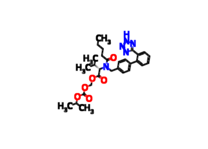 CCCCC(=O)N(Cc1ccc(-c2ccccc2-c2nn[nH]n2)cc1)[C@H](C(=O)OCOC(=O)OC(C)C)C(C)C